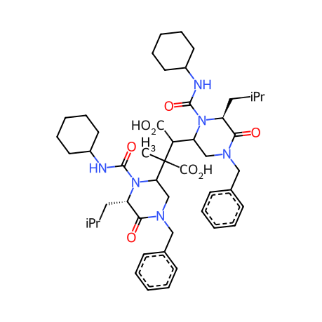 CC(C)C[C@H]1C(=O)N(Cc2ccccc2)CC(C(C(=O)O)C(C)(C(=O)O)C2CN(Cc3ccccc3)C(=O)[C@H](CC(C)C)N2C(=O)NC2CCCCC2)N1C(=O)NC1CCCCC1